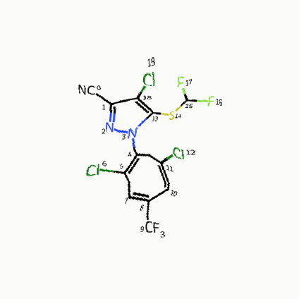 N#Cc1nn(-c2c(Cl)cc(C(F)(F)F)cc2Cl)c(SC(F)F)c1Cl